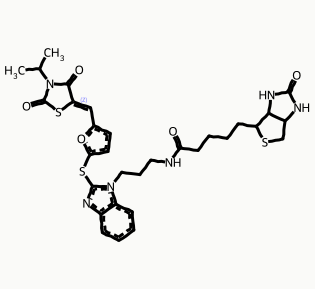 CC(C)N1C(=O)S/C(=C\c2ccc(Sc3nc4ccccc4n3CCCNC(=O)CCCCC3SCC4NC(=O)NC43)o2)C1=O